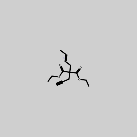 C#CCC(C/C=C/C)(C(=O)OCC)C(=O)OCC